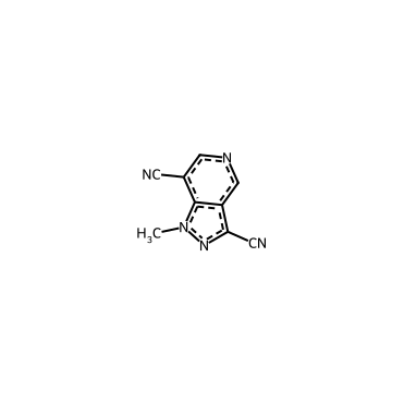 Cn1nc(C#N)c2cncc(C#N)c21